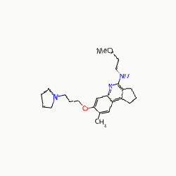 COCCNc1nc2cc(OCCCN3CCCC3)c(C)cc2c2c1CCC2